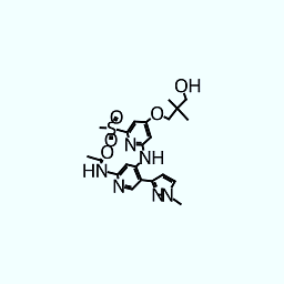 CC(=O)Nc1cc(Nc2cc(OCC(C)(C)CO)cc(S(C)(=O)=O)n2)c(-c2ccn(C)n2)cn1